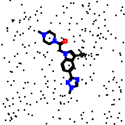 CC(C)c1cn(CC(=O)N2CCN(C)CC2)c2ccc(-c3ncn(C)n3)cc12